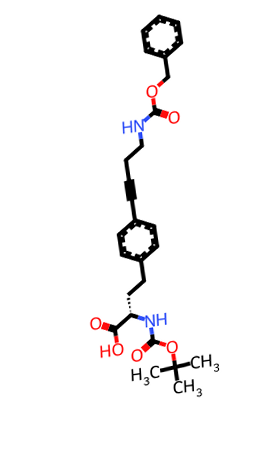 CC(C)(C)OC(=O)N[C@@H](CCc1ccc(C#CCCNC(=O)OCc2ccccc2)cc1)C(=O)O